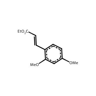 CCOC(=O)C=Cc1ccc(OC)cc1OC